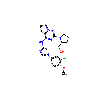 OC[C@@H]1CCCN1c1nc(Nc2cn(-c3ccc(OC(F)(F)F)c(Cl)c3)cn2)c2cccn2n1